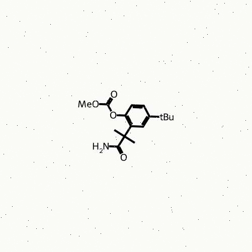 COC(=O)Oc1ccc(C(C)(C)C)cc1C(C)(C)C(N)=O